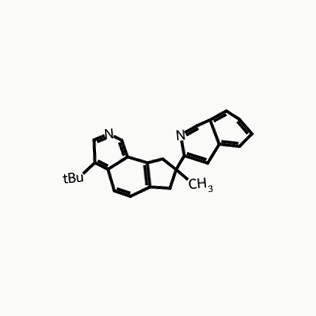 CC(C)(C)c1cncc2c3c(ccc12)CC(C)(c1cc2ccccc2cn1)C3